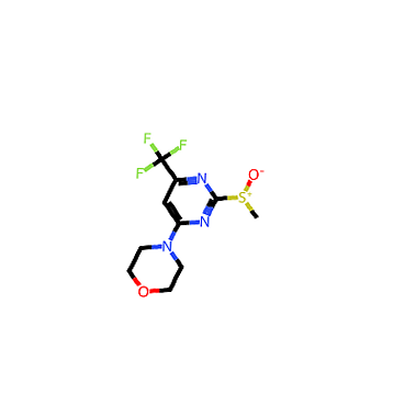 C[S+]([O-])c1nc(N2CCOCC2)cc(C(F)(F)F)n1